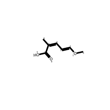 COC=CC=C(C)C(=O)O